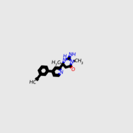 C#Cc1cccc(-c2ccnc([C@]3(C)CC(=O)N(C)C(=N)N3)c2)c1